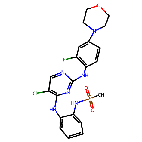 CS(=O)(=O)Nc1ccccc1Nc1nc(Nc2ccc(N3CCOCC3)cc2F)ncc1Cl